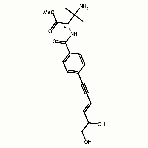 COC(=O)[C@@H](NC(=O)c1ccc(C#CC=CC(O)CO)cc1)C(C)(C)N